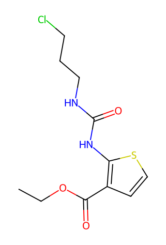 CCOC(=O)c1ccsc1NC(=O)NCCCCl